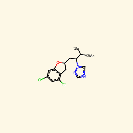 COC(C(CC1Cc2c(Cl)cc(Cl)cc2O1)n1cncn1)C(C)(C)C